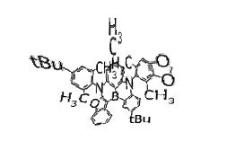 Cc1cc2c3c(c1)N(c1c(C)cc(C(C)(C)C)cc1C)c1oc4ccccc4c1B3c1cc(C(C)(C)C)ccc1N2c1c(C)cc2c(c1C)OCO2